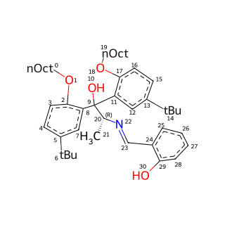 CCCCCCCCOc1ccc(C(C)(C)C)cc1C(O)(c1cc(C(C)(C)C)ccc1OCCCCCCCC)[C@@H](C)N=Cc1ccccc1O